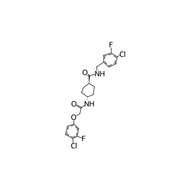 O=C(COc1ccc(Cl)c(F)c1)N[C@H]1CC[C@H](C(=O)NCc2ccc(Cl)c(F)c2)CC1